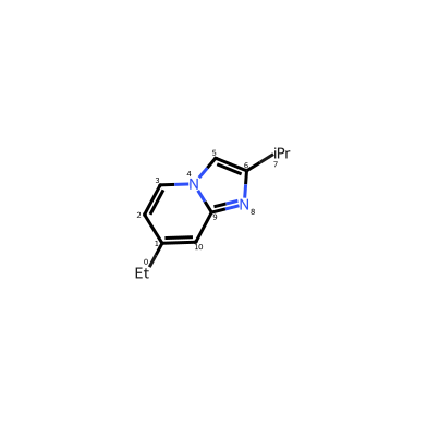 CCc1ccn2cc(C(C)C)nc2c1